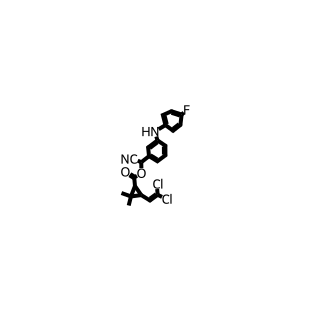 CC1(C)C(C=C(Cl)Cl)C1C(=O)OC(C#N)c1cccc(Nc2ccc(F)cc2)c1